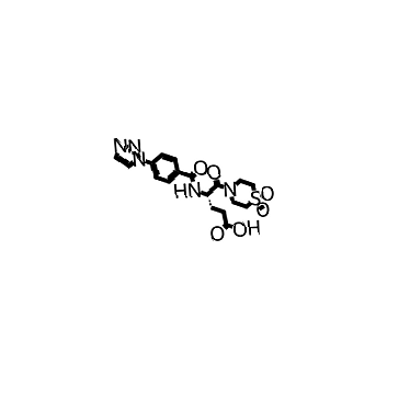 O=C(O)CC[C@H](NC(=O)c1ccc(-n2ccnn2)cc1)C(=O)N1CCS(=O)(=O)CC1